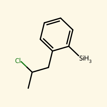 CC(Cl)Cc1ccccc1[SiH3]